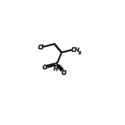 CC(CCl)[SH](=O)=O